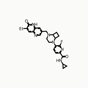 CCc1cc2ncc(CN3CCN(c4ccc(C(=O)NC5CC5)nc4F)C4CCC43)cc2[nH]c1=O